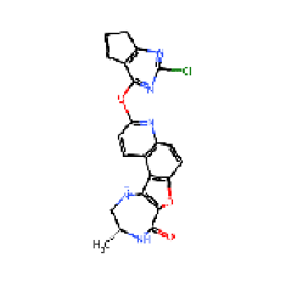 C[C@@H]1CNc2c(oc3ccc4nc(Oc5nc(Cl)nc6c5CCC6)ccc4c23)C(=O)N1